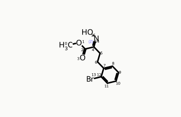 COC(=O)/C(CCc1ccccc1Br)=N\O